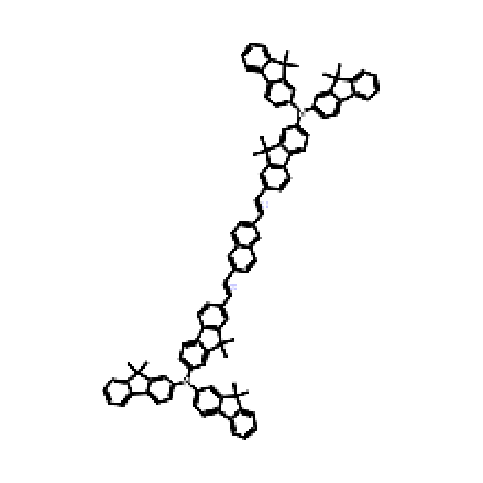 CC1(C)c2ccccc2-c2ccc(N(c3ccc4c(c3)C(C)(C)c3ccccc3-4)c3ccc4c(c3)C(C)(C)c3cc(/C=C/c5ccc6cc(/C=C/c7ccc8c(c7)C(C)(C)c7cc(N(c9ccc%10c(c9)C(C)(C)c9ccccc9-%10)c9ccc%10c(c9)C(C)(C)c9ccccc9-%10)ccc7-8)ccc6c5)ccc3-4)cc21